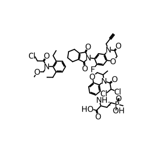 C#CCN1C(=O)COc2cc(F)c(N3C(=O)C4=C(CCCC4)C3=O)cc21.CC1COc2ccccc2N1C(=O)C(Cl)Cl.CCc1cccc(CC)c1N(COC)C(=O)CCl.CP(=O)(O)CCC(N)C(=O)O